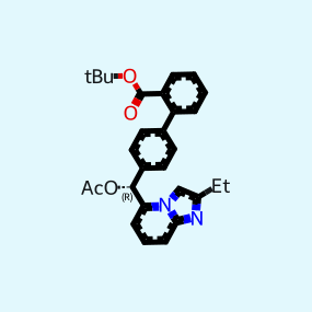 CCc1cn2c([C@H](OC(C)=O)c3ccc(-c4ccccc4C(=O)OC(C)(C)C)cc3)cccc2n1